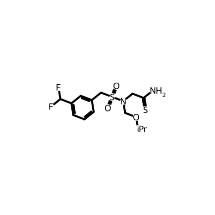 CC(C)OCN(CC(N)=S)S(=O)(=O)Cc1cccc(C(F)F)c1